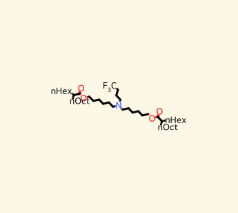 CCCCCCCCC(CCCCCC)C(=O)OCCCCCCN(CCCCCCOC(=O)C(CCCCCC)CCCCCCCC)CCCC(F)(F)F